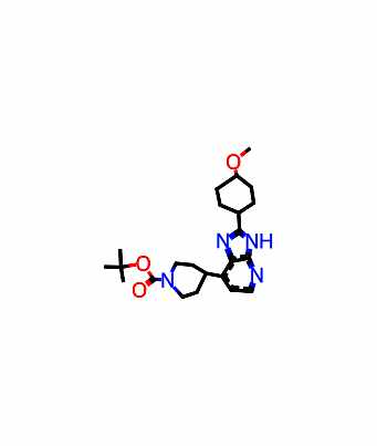 COC1CCC(c2nc3c(C4CCN(C(=O)OC(C)(C)C)CC4)ccnc3[nH]2)CC1